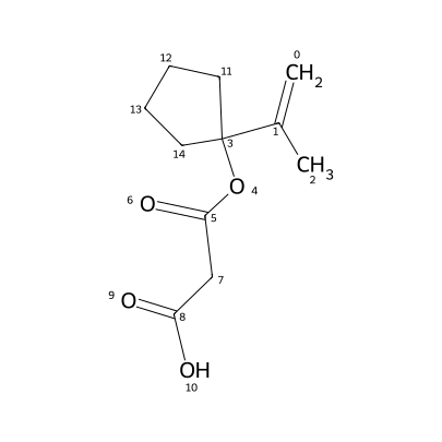 C=C(C)C1(OC(=O)CC(=O)O)CCCC1